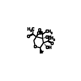 CC(=O)[C@@]1(O)[C@@](O)(C(C)=O)[C@@H](Br)OC[C@]1(O)C(C)=O